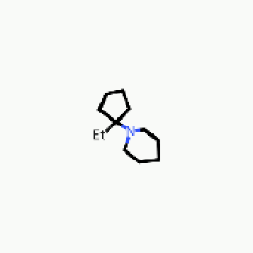 CCC1(N2CCCCC2)CCCC1